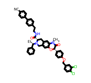 CC[C@@H](c1ccccc1)N1Cc2cc3c(cc2C[C@H]1C(=O)NCCc1ccc(-c2ccc(C#N)cc2)cc1)N(C)C(=O)[C@H](c1ccc(OCc2ccc(Cl)c(Cl)c2)cc1)O3